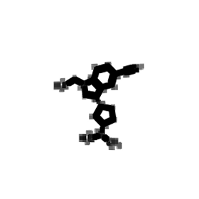 CCn1cc([C@@H]2CC[C@@H](N(C)C)C2)c2cc(C#N)ccc21